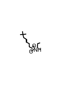 CC[C@@H](C)NS(=O)(=O)CC/C=C/CC(C)(C)C